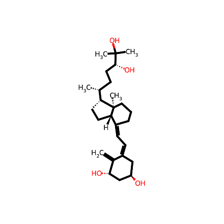 C=C1C(=CC=C2CCC[C@]3(C)[C@@H]([C@H](C)CC[C@@H](O)C(C)(C)O)CC[C@@H]23)C[C@@H](O)C[C@@H]1O